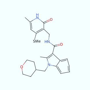 CSc1cc(C)[nH]c(=O)c1CNC(=O)c1c(C)n(CC2CCOCC2)c2ccccc12